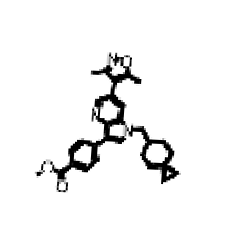 COC(=O)c1ccc(-c2cn(CC3CCC4(CC3)CC4)c3cc(-c4c(C)noc4C)cnc23)cc1